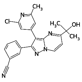 Cc1cc(-c2c(-c3cccc(C#N)c3)nn3ccc(C(C)(C)O)nc23)cc(Cl)n1